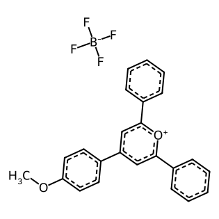 COc1ccc(-c2cc(-c3ccccc3)[o+]c(-c3ccccc3)c2)cc1.F[B-](F)(F)F